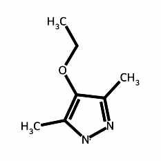 CCOC1=C(C)[N]N=C1C